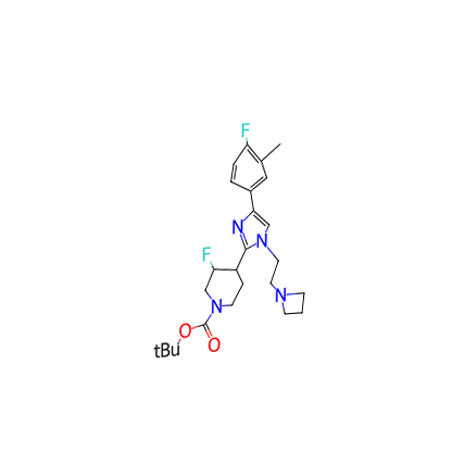 Cc1cc(-c2cn(CCN3CCC3)c(C3CCN(C(=O)OC(C)(C)C)CC3F)n2)ccc1F